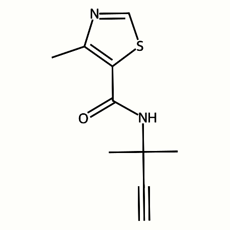 C#CC(C)(C)NC(=O)c1scnc1C